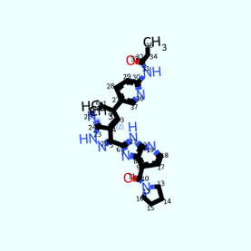 C#CC(/C=C1/C(c2nc3c(C(=O)N4CCCC4)ccnc3[nH]2)=NN/C1=N/C)c1ccc(NC(=O)CC)nc1